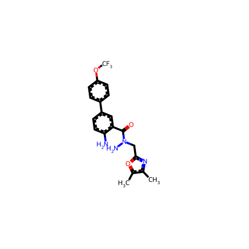 Cc1nc(CN(N)C(=O)c2cc(-c3ccc(OC(F)(F)F)cc3)ccc2N)oc1C